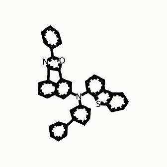 c1ccc(-c2cccc(N(c3cc4c5c(cccc5c3)-c3nc(-c5ccccc5)oc3-4)c3cccc4c3sc3ccccc34)c2)cc1